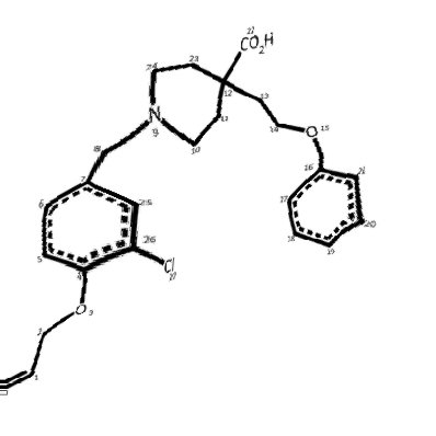 C=CCOc1ccc(CN2CCC(CCOc3ccccc3)(C(=O)O)CC2)cc1Cl